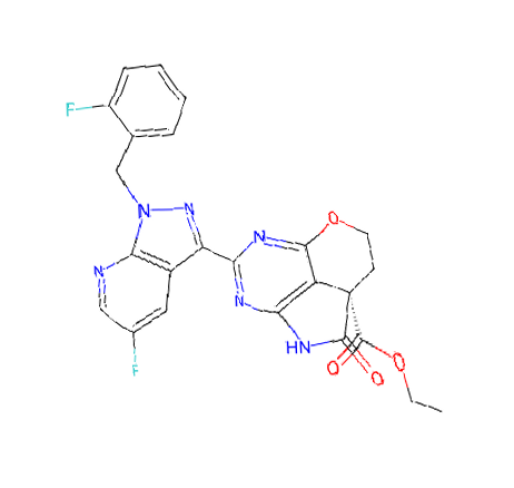 CCOC(=O)[C@@]12CCOc3nc(-c4nn(Cc5ccccc5F)c5ncc(F)cc45)nc(c31)NC2=O